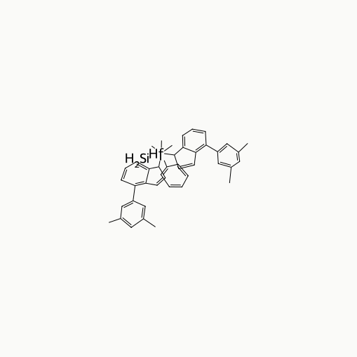 Cc1cc(C)cc(-c2cccc3c2C=C[CH]3[Hf]([CH3])([CH3])([CH3])(=[SiH2])([c]2ccccc2)[CH]2C=Cc3c(-c4cc(C)cc(C)c4)cccc32)c1